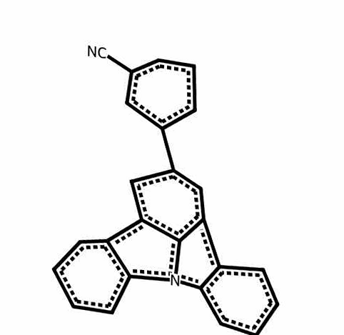 N#Cc1cccc(-c2cc3c4ccccc4n4c5ccccc5c(c2)c34)c1